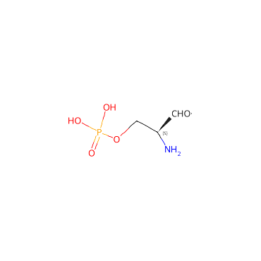 N[C@H]([C]=O)COP(=O)(O)O